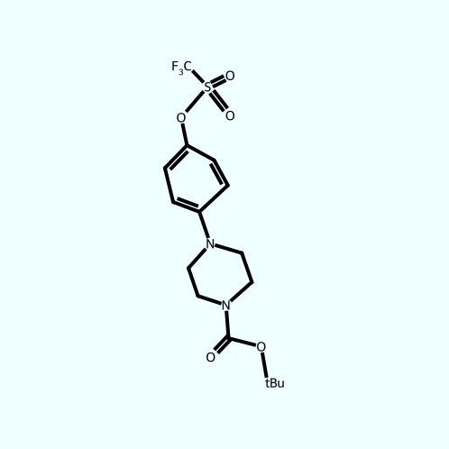 CC(C)(C)OC(=O)N1CCN(c2ccc(OS(=O)(=O)C(F)(F)F)cc2)CC1